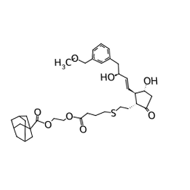 COCc1cccc(C[C@H](O)C=C[C@H]2[C@H](O)CC(=O)[C@@H]2CCSCCCC(=O)OCCOC(=O)C23CC4CC(CC(C4)C2)C3)c1